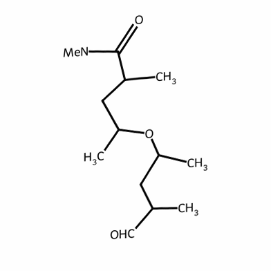 CNC(=O)C(C)CC(C)OC(C)CC(C)C=O